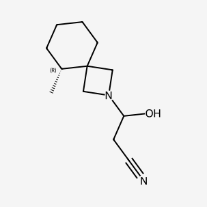 C[C@@H]1CCCCC12CN(C(O)CC#N)C2